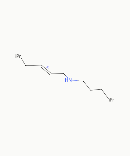 CC(C)C/C=C/CNCCCC(C)C